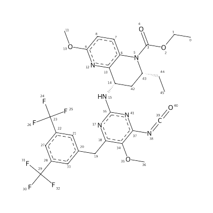 CCOC(=O)N1c2ccc(OC)nc2[C@@H](Nc2nc(Cc3cc(C(F)(F)F)cc(C(F)(F)F)c3)c(OC)c(N=C=O)n2)C[C@H]1CC